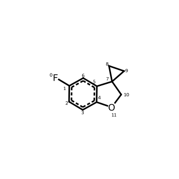 Fc1ccc2c(c1)C1(CC1)CO2